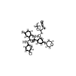 CC(C)(C)OC(COc1cc(N2CCOCC2)ccc1C(=O)Nc1ccc(F)cc1C(=O)Nc1ccc(Cl)cn1)N=C=O